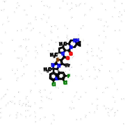 CC(C)C1=C(C(=O)N2[C@H](C)CC[C@H]2C(=O)N2CC3(CC3)NC[C@H]2C)SC2=N[C@@](C)(c3ccc(Cl)nc3)[C@@H](c3ccc(Cl)c(F)c3)N21